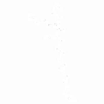 CCCCCCCCCCCC(=O)NN(CCC)CCCO